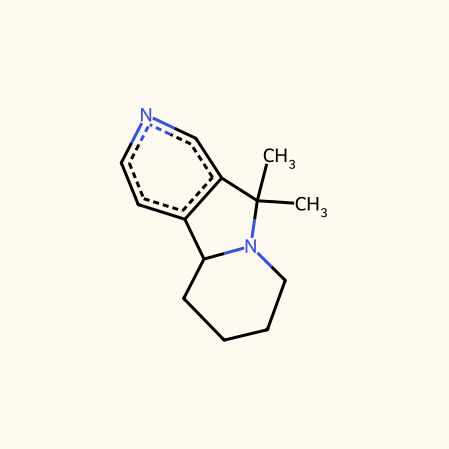 CC1(C)c2cnccc2C2CCCCN21